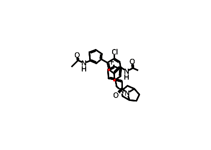 CC(=O)Nc1cccc(-c2cc(C=CC(=O)N3C4CCC3CN(Cc3ccc(F)cc3)C4)c(NC(C)=O)cc2Cl)c1